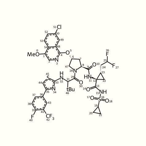 COc1cnc(O[C@@H]2C[C@@H](C(=O)N[C@]3(C(=O)NS(=O)(=O)C4CC4)C[C@H]3CC(F)F)N(C(=O)C(Nc3nc(-c4ccc(F)c(C(F)(F)F)c4)cs3)C(C)(C)C)C2)c2cc(Cl)ccc12